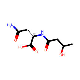 CC(O)CC(=O)N[C@@H](CC(N)=O)C(=O)O